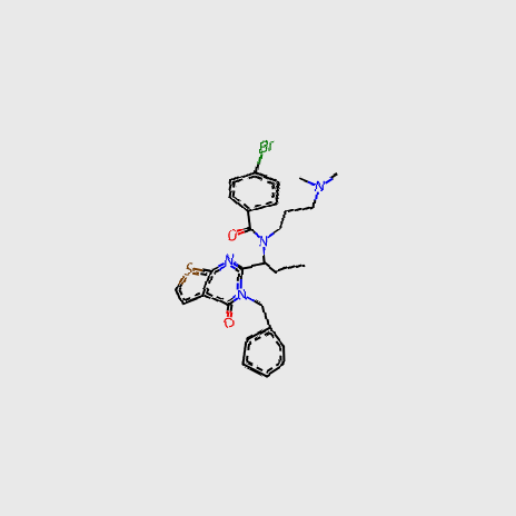 CCC(c1nc2sccc2c(=O)n1Cc1ccccc1)N(CCCN(C)C)C(=O)c1ccc(Br)cc1